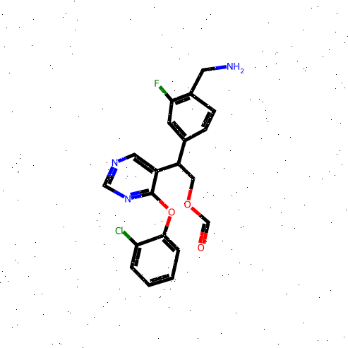 NCc1ccc(C(COC=O)c2cncnc2Oc2ccccc2Cl)cc1F